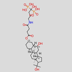 CC(C)(O)C1CC[C@H]2[C@@H]3C[C@H](O)[C@H]4C[C@@H](OC(=O)CCC(=O)NCCCC(O)(P(=O)(O)O)P(=O)(O)O)CC[C@]4(C)[C@H]3CC[C@]12C